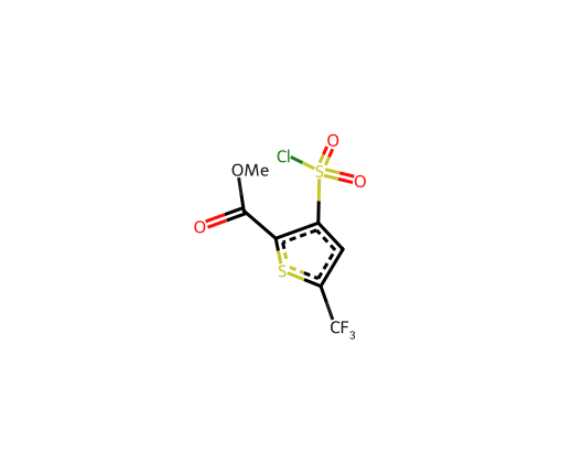 COC(=O)c1sc(C(F)(F)F)cc1S(=O)(=O)Cl